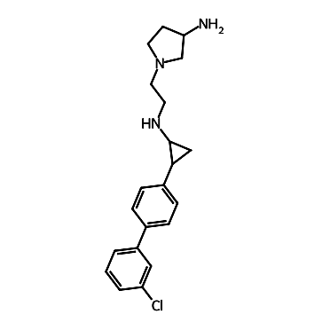 NC1CCN(CCNC2CC2c2ccc(-c3cccc(Cl)c3)cc2)C1